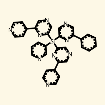 c1ccc(-c2cncc([Si](c3cccnc3)(c3cncc(-c4ccncc4)n3)c3cncc(-c4ccncc4)n3)n2)cc1